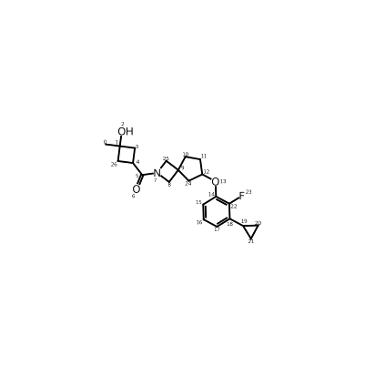 CC1(O)CC(C(=O)N2CC3(CCC(Oc4cccc(C5CC5)c4F)C3)C2)C1